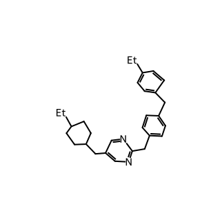 CCc1ccc(Cc2ccc(Cc3ncc(CC4CCC(CC)CC4)cn3)cc2)cc1